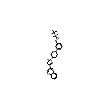 CC(C)(C)[Si](C)(C)OCc1cccc(N2CCC(n3cc(-c4cnc5ccccc5n4)cn3)CC2)c1